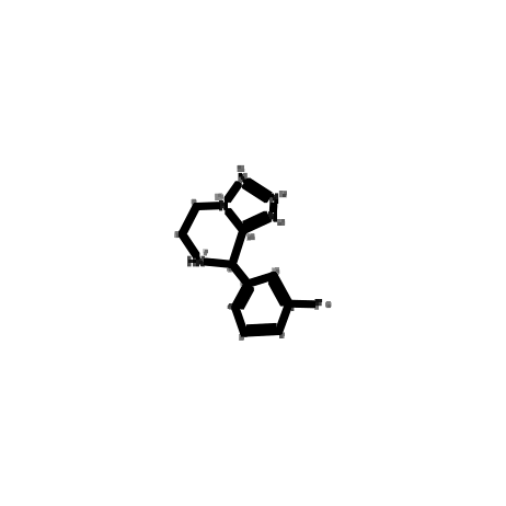 Fc1cccc(C2NCCn3nnnc32)c1